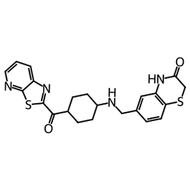 O=C1CSc2ccc(CNC3CCC(C(=O)c4nc5cccnc5s4)CC3)cc2N1